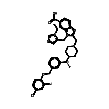 CCn1cncc1Cn1c(CN2CCC([C@H](F)c3cccc(COc4ccc(Cl)cc4Cl)c3)CC2)nc2ccc(C(=O)O)cc21